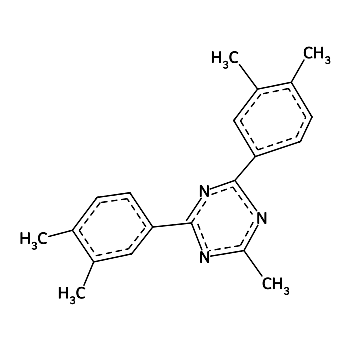 Cc1nc(-c2ccc(C)c(C)c2)nc(-c2ccc(C)c(C)c2)n1